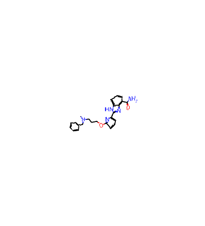 CN(CCCOc1cccc(-c2nc3c(C(N)=O)cccc3[nH]2)n1)Cc1ccccc1